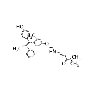 CC/C(=C(\c1ccc(O)cc1)c1ccc(OCCNC/C=C/C(=O)N(C)C)cc1C)c1ccccc1